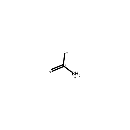 BC([CH2])=C